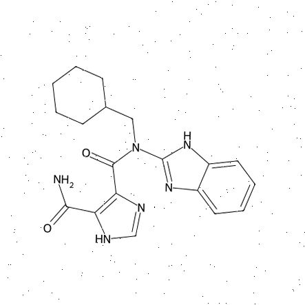 NC(=O)c1[nH]cnc1C(=O)N(CC1CCCCC1)c1nc2ccccc2[nH]1